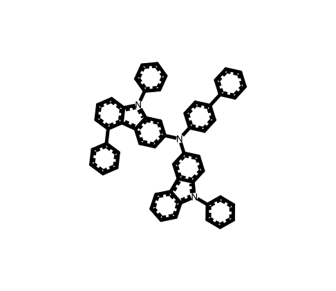 c1ccc(-c2ccc(N(c3ccc4c(c3)c3ccccc3n4-c3ccccc3)c3ccc4c5c(-c6ccccc6)cccc5n(-c5ccccc5)c4c3)cc2)cc1